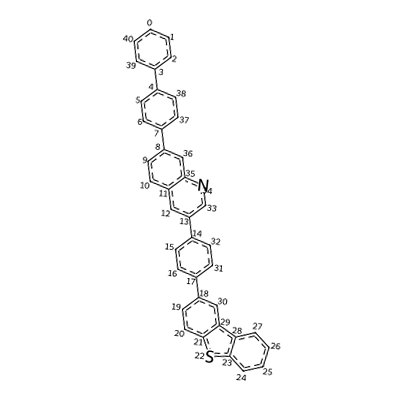 c1ccc(-c2ccc(-c3ccc4cc(-c5ccc(-c6ccc7sc8ccccc8c7c6)cc5)cnc4c3)cc2)cc1